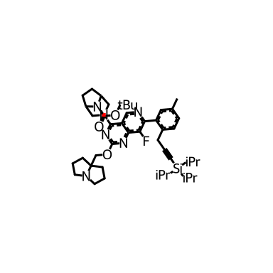 Cc1ccc(CC#C[Si](C(C)C)(C(C)C)C(C)C)c(-c2ncc3c(N4CC5CCC(C4)N5C(=O)OC(C)(C)C)nc(OCC45CCCN4CCC5)nc3c2F)c1